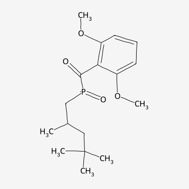 COc1cccc(OC)c1C(=O)[P](=O)CC(C)CC(C)(C)C